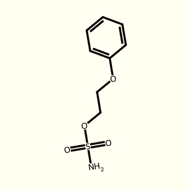 NS(=O)(=O)OCCOc1ccccc1